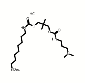 CCCCCCCCCCCCCCCCCCNC(=O)OCC(C)(C)COC(=O)NCCCN(C)C.Cl